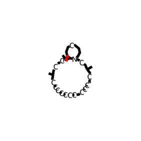 CC1CCCCCCCCCCCCCCCC(C)CCCN2CCCCCCCC[C@H]2C(C)(C)CCCC1